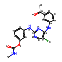 CNC(=O)Oc1cccc(Nc2ncc(F)c(Nc3cccc(C(C)=O)c3)n2)c1